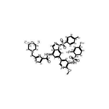 COc1ncc(-c2cc(NC(=O)c3csc(CN4C[C@@H](C)O[C@@H](C)C4)n3)c3cnn(S(=O)(=O)c4ccc(C)cc4)c3c2)cc1NS(=O)(=O)C1CC=C(F)C=C1F